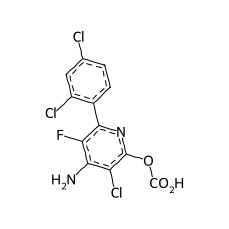 Nc1c(F)c(-c2ccc(Cl)cc2Cl)nc(OC(=O)O)c1Cl